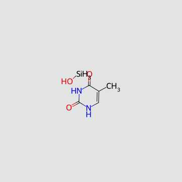 Cc1c[nH]c(=O)[nH]c1=O.O[SiH3]